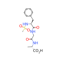 C[C@H](NC(=O)CNC(=O)[C@H](Cc1ccccc1)NS(C)(=O)=O)C(=O)O